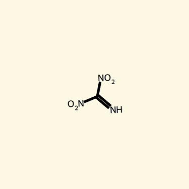 N=C([N+](=O)[O-])[N+](=O)[O-]